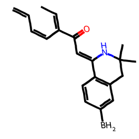 Bc1ccc2c(c1)CC(C)(C)N/C2=C\C(=O)C(/C=C\C=C)=C/C